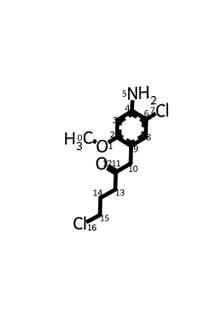 COc1cc(N)c(Cl)cc1CC(=O)CCCCl